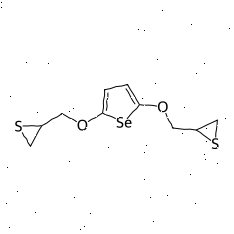 c1cc(OCC2CS2)[se]c1OCC1CS1